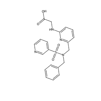 O=C(O)CNc1cccc(CN(Cc2ccccc2)S(=O)(=O)c2cccnc2)n1